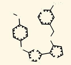 CC(=O)Nc1cc(CSc2ccsc2-c2nnc(Nc3ccc(OC(F)(F)F)cc3)s2)ccn1